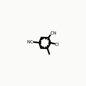 Cc1cc(C#N)cc(C#N)c1Cl